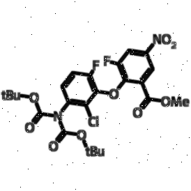 COC(=O)c1cc([N+](=O)[O-])cc(F)c1Oc1c(F)ccc(N(C(=O)OC(C)(C)C)C(=O)OC(C)(C)C)c1Cl